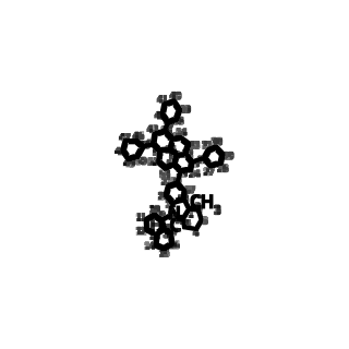 CC12CCCCC1(C)N(c1cccc3ccccc13)c1ccc(-c3cc(-c4ccccc4)c4ccc5c(-c6ccccc6)cc(-c6ccccc6)c6ccc3c4c56)cc12